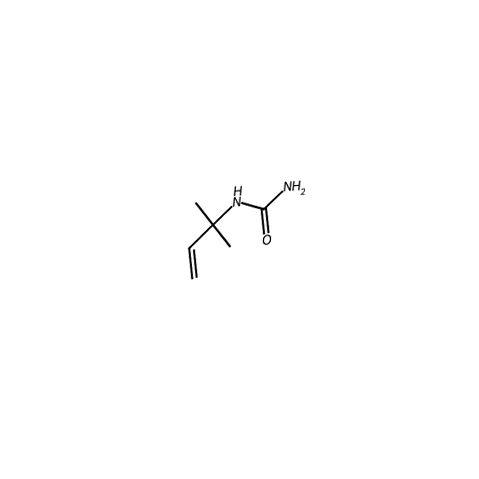 C=CC(C)(C)NC(N)=O